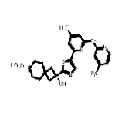 Cc1cc(Nc2cc(C(F)(F)F)ccn2)nc(-c2cnc([C@]3(O)CC4(CC[C@@H](C(=O)O)CC4)C3)s2)c1